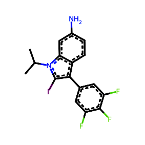 CC(C)n1c(I)c(-c2cc(F)c(F)c(F)c2)c2ccc(N)cc21